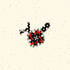 CCCCC(CC)CC[NH2+]CCC.Fc1cc2c(c(F)c1F)-c1c(F)c(F)c(F)c(F)c1[CH]2[Al-]([CH]1c2cc(F)c(F)c(F)c2-c2c(F)c(F)c(F)c(F)c21)([CH]1c2cc(F)c(F)c(F)c2-c2c(F)c(F)c(F)c(F)c21)[CH]1c2cc(F)c(F)c(F)c2-c2c(F)c(F)c(F)c(F)c21.c1ccc(-c2ccccc2)cc1